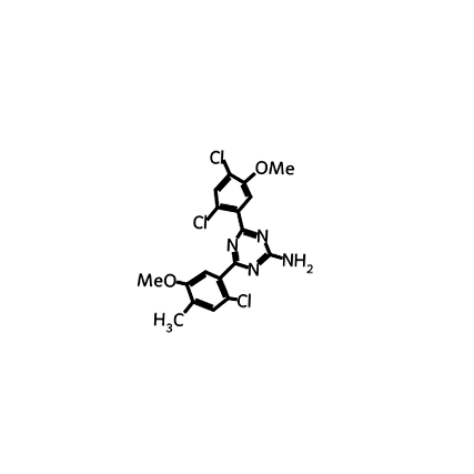 COc1cc(-c2nc(N)nc(-c3cc(OC)c(Cl)cc3Cl)n2)c(Cl)cc1C